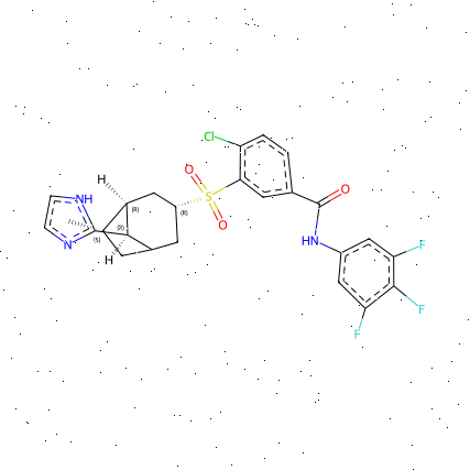 C[C@H]1CC2C[C@@H](S(=O)(=O)c3cc(C(=O)Nc4cc(F)c(F)c(F)c4)ccc3Cl)C[C@H]1[C@@H]2c1ncc[nH]1